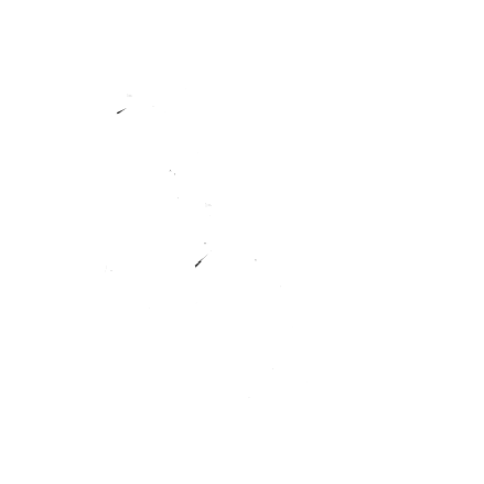 C[C@@H](O[C@H]1OCC[C@@H](CN2CCC3(CC2)COC[C@@H]3O)[C@@H]1c1ccc(F)c(Br)c1)c1cc(C(F)(F)F)cc(C(F)(F)F)c1